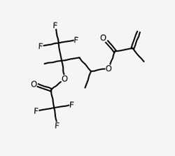 C=C(C)C(=O)OC(C)CC(C)(OC(=O)C(F)(F)F)C(F)(F)F